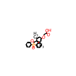 Cc1cc(OCC(=O)O)cc(C)c1C(=O)P(=O)(c1ccccc1)c1ccccc1